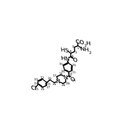 NC(CCC(S)C(=O)Nc1ccc(C(=O)N2CCN(CCc3ccc(Cl)cc3)CC2)cc1)C(=O)O